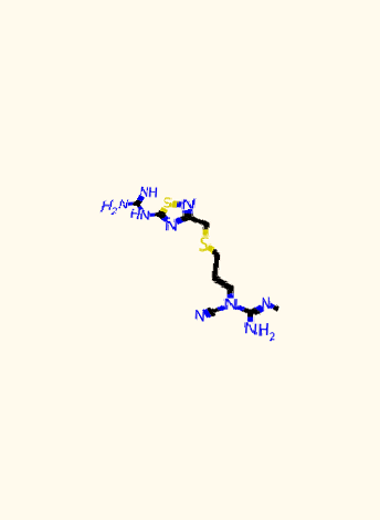 CN=C(N)N(C#N)CCCSCc1nsc(NC(=N)N)n1